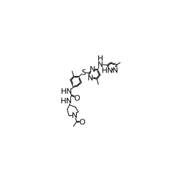 CC(=O)N1CCC(NC(=O)Nc2ccc(Sc3nc(C)cc(Nc4cc(C)n[nH]4)n3)c(C)c2)CC1